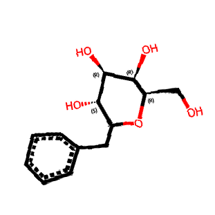 OC[C@H]1O[C](Cc2ccccc2)[C@H](O)[C@@H](O)[C@H]1O